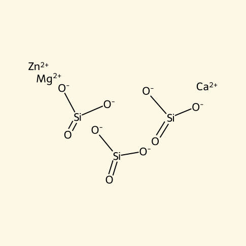 O=[Si]([O-])[O-].O=[Si]([O-])[O-].O=[Si]([O-])[O-].[Ca+2].[Mg+2].[Zn+2]